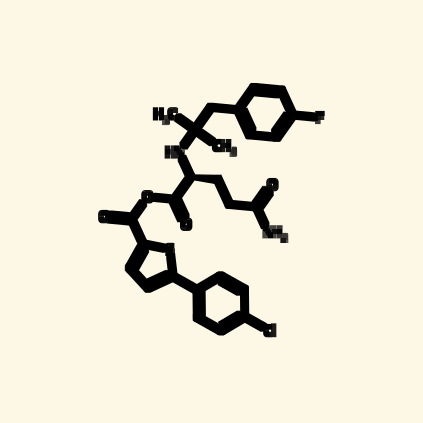 CC(C)(Cc1ccc(F)cc1)N[C@@H](CCC(N)=O)C(=O)OC(=O)c1ccc(-c2ccc(Cl)cc2)s1